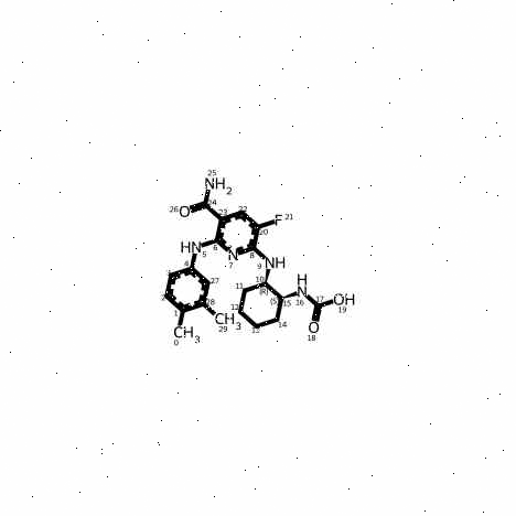 Cc1ccc(Nc2nc(N[C@@H]3CCCC[C@@H]3NC(=O)O)c(F)cc2C(N)=O)cc1C